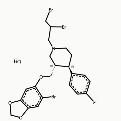 Cl.Fc1ccc([C@@H]2CCN(CC(Br)CBr)C[C@H]2COc2cc3c(cc2Br)OCO3)cc1